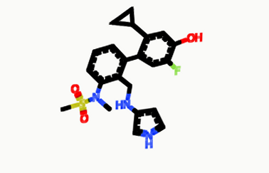 CN(c1cccc(-c2cc(F)c(O)cc2C2CC2)c1CNc1cc[nH]c1)S(C)(=O)=O